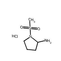 CS(=O)(=O)N1CCCC1N.Cl